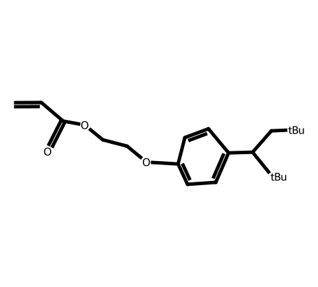 C=CC(=O)OCCOc1ccc(C(CC(C)(C)C)C(C)(C)C)cc1